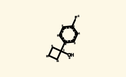 OC1(c2ccc(F)cc2)CCC1